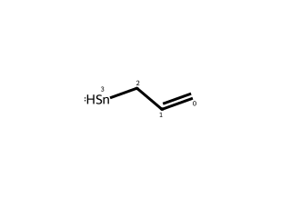 C=C[CH2][SnH]